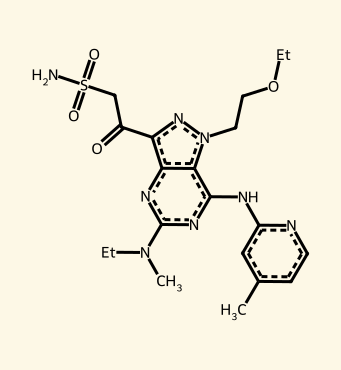 CCOCCn1nc(C(=O)CS(N)(=O)=O)c2nc(N(C)CC)nc(Nc3cc(C)ccn3)c21